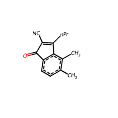 CCCC1=C(C#N)C(=O)c2ccc(C)c(C)c21